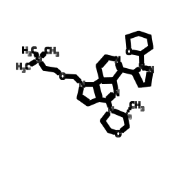 C[C@@H]1COCCN1c1nc2c(-c3ccnn3C3CCCCO3)nccc2c2c1ccn2COCC[Si](C)(C)C